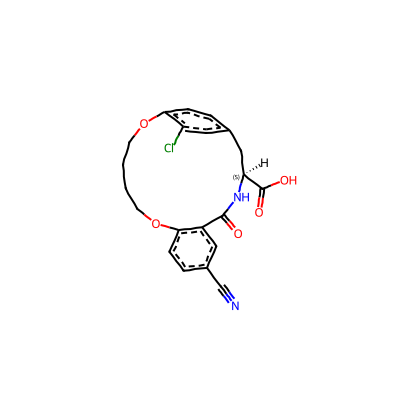 N#Cc1ccc2c(c1)C(=O)N[C@H](C(=O)O)Cc1ccc(c(Cl)c1)OCCCCO2